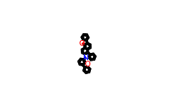 c1ccc2c(c1)oc1c(-n3c4ccccc4c4c5ccc6c7ccccc7oc6c5ccc43)cccc12